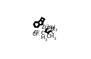 Cc1[pH][c]([Zr+2][C]2=C3CCC3c3ccccc32)c(C)c1C.[Cl-].[Cl-]